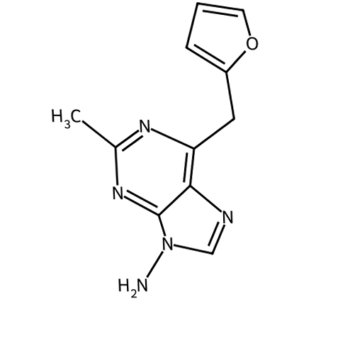 Cc1nc(Cc2ccco2)c2ncn(N)c2n1